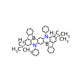 CC(C)(C)c1cc2c3c(c1)N(c1ccccc1)c1cc4c(cc1B3c1ccccc1-2)N(c1ccccc1)c1cc(C(C)(C)C)cc2c1B4c1ccccc1-2